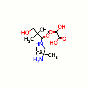 CC(C)(N)CNC(=O)C(C)(C)CO.O=C(O)C(=O)O